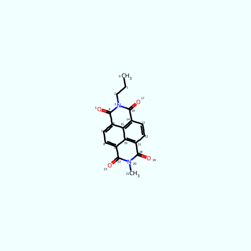 CCCN1C(=O)c2ccc3c4c(ccc(c24)C1=O)C(=O)N(C)C3=O